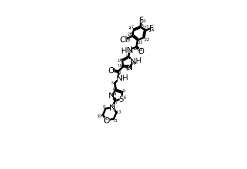 O=C(NCc1csc(N2CCOCC2)n1)c1cc(NC(=O)c2cc(F)c(F)cc2Cl)[nH]n1